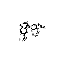 COc1ccc2nccc(N3C[C@@H](N=[N+]=[N-])[C@H](OC)C3)c2n1